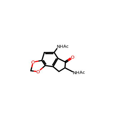 CC(=O)Nc1cc2c(c3c1C(=O)C(NC(C)=O)C3)OCO2